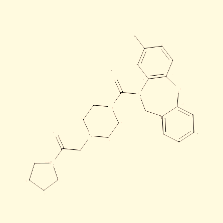 O=C(CN1CCN(C(=O)N2Cc3ccccc3Oc3ccc(Cl)cc32)CC1)N1CCCC1